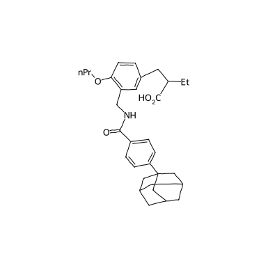 CCCOc1ccc(CC(CC)C(=O)O)cc1CNC(=O)c1ccc(C23CC4CC(CC(C4)C2)C3)cc1